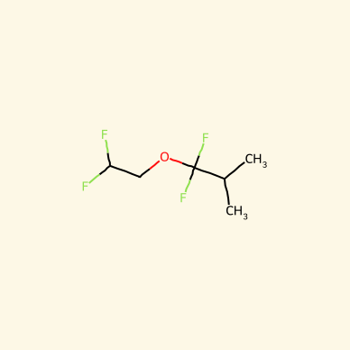 CC(C)C(F)(F)OCC(F)F